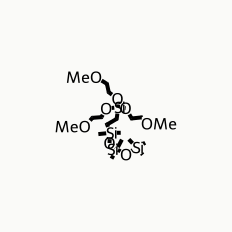 COCCO[Si](CC[Si](C)(C)O[Si](C)(C)O[Si](C)(C)C)(OCCOC)OCCOC